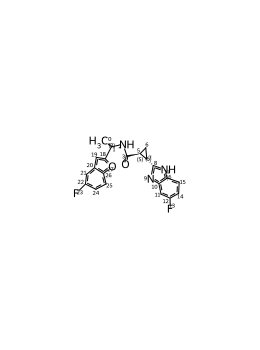 C[C@@H](NC(=O)[C@H]1C[C@@H]1c1nc2cc(F)ccc2[nH]1)c1cc2cc(F)ccc2o1